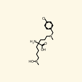 CB(O)CCCCC(N)(CCCN(C)Cc1ccc(Cl)cc1)C(=O)O